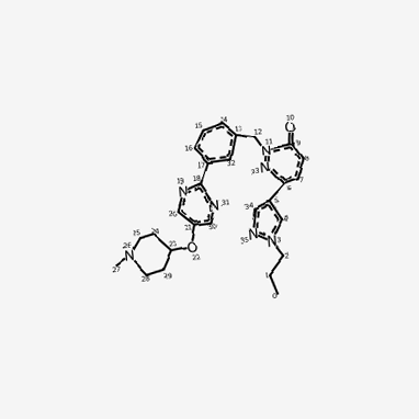 CCCn1cc(-c2ccc(=O)n(Cc3cccc(-c4ncc(OC5CCN(C)CC5)cn4)c3)n2)cn1